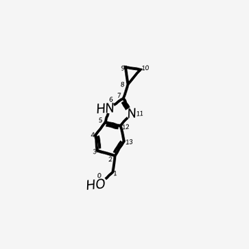 OCc1ccc2[nH]c(C3CC3)nc2c1